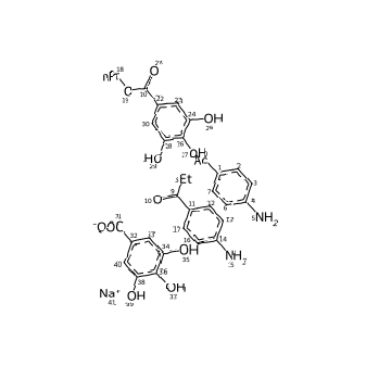 CC(=O)c1ccc(N)cc1.CCC(=O)c1ccc(N)cc1.CCCOC(=O)c1cc(O)c(O)c(O)c1.O=C([O-])c1cc(O)c(O)c(O)c1.[Na+]